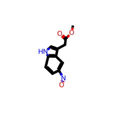 COC(=O)Cc1c[nH]c2ccc(N=O)cc12